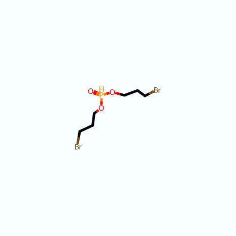 O=[PH](OCCCBr)OCCCBr